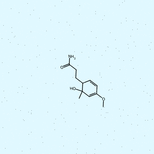 COC1=CC(C)(O)C(CCC(N)=O)C=C1